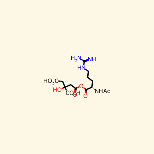 CC(=O)N[C@@H](CCCNC(=N)N)C(=O)OC(=O)CC(O)(CC(=O)O)C(=O)O